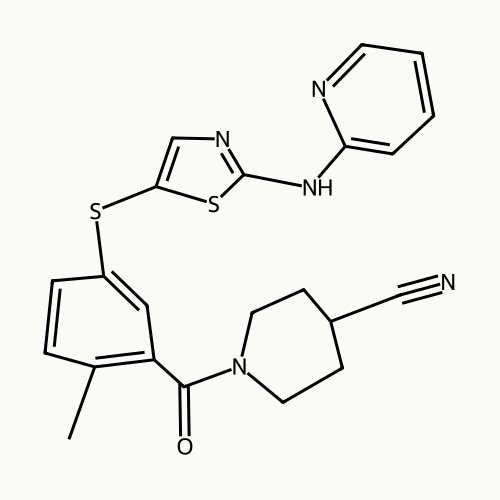 Cc1ccc(Sc2cnc(Nc3ccccn3)s2)cc1C(=O)N1CCC(C#N)CC1